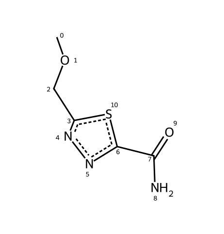 COCc1nnc(C(N)=O)s1